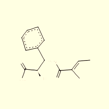 CC=C(C)C(=O)N[C@@H](c1ccccc1)[C@@H](O)C(=O)O